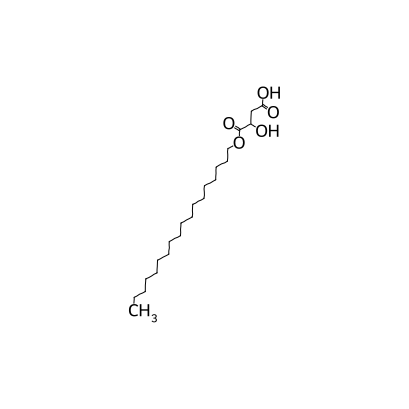 CCCCCCCCCCCCCCCCCCOC(=O)C(O)CC(=O)O